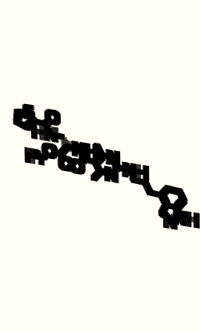 Cc1nc(NCCCc2cccc3[nH]ncc23)nc(C)c1C(=O)N[C@@H](CNC(=O)c1cccs1)C(=O)OC(C)C